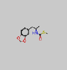 CSC(=O)NC(C)Cc1ccc2c(c1)OCO2